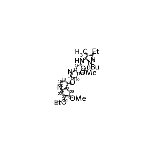 CCCCn1nc(CC)c(C)c1NC(=O)Cc1ncc(Oc2ccnc3cc(OCC)c(OC)cc23)cc1OC